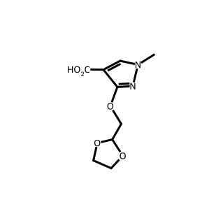 Cn1cc(C(=O)O)c(OCC2OCCO2)n1